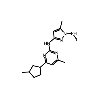 Cc1cc(C2CCC(C)C2)nc(Nc2cc(C)n(PI)n2)n1